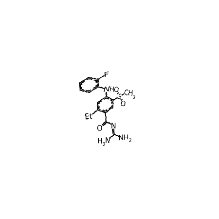 CCc1cc(Nc2ccccc2F)c(S(C)(=O)=O)cc1C(=O)N=C(N)N